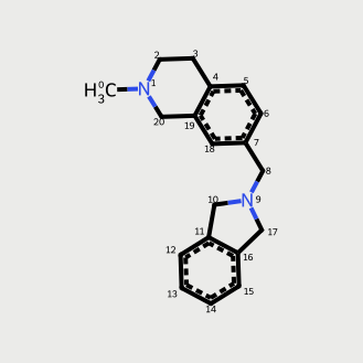 CN1CCc2ccc(CN3Cc4ccccc4C3)cc2C1